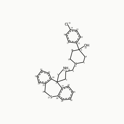 NCC1(CCCN2CCC(O)(c3ccc(Cl)cc3)CC2)c2ccccc2CSc2ccccc21